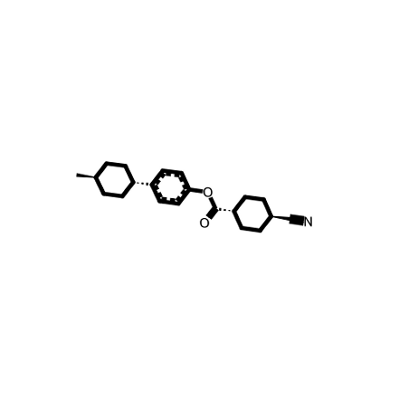 C[C@H]1CC[C@H](c2ccc(OC(=O)[C@H]3CC[C@H](C#N)CC3)cc2)CC1